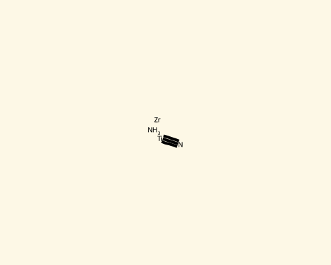 N.[N]#[Ti].[Zr]